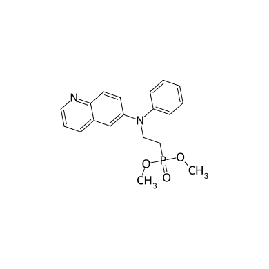 COP(=O)(CCN(c1ccccc1)c1ccc2ncccc2c1)OC